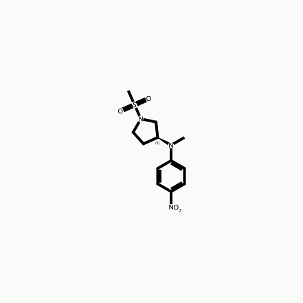 CN(c1ccc([N+](=O)[O-])cc1)[C@H]1CCN(S(C)(=O)=O)C1